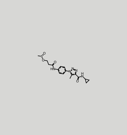 Cc1c(C(=O)NC2CC2)nnn1-c1ccc(NC(=O)CCOS(C)=O)cc1